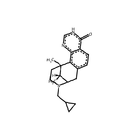 C[C@H]1C2Cc3ccc4c(=O)[nH]cnc4c3C1(C)CCN2CC1CC1